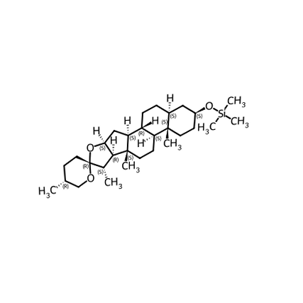 C[C@@H]1CC[C@@]2(OC1)O[C@H]1C[C@H]3[C@@H]4CC[C@H]5C[C@@H](O[Si](C)(C)C)CC[C@]5(C)[C@H]4CC[C@]3(C)[C@H]1[C@@H]2C